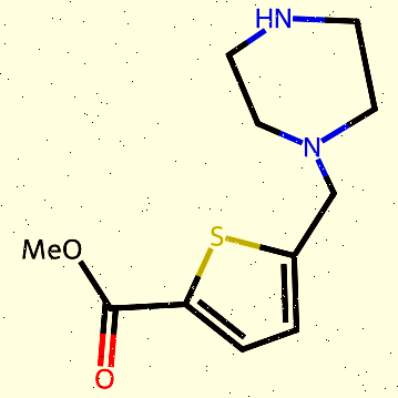 COC(=O)c1ccc(CN2CCNCC2)s1